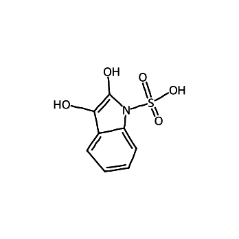 O=S(=O)(O)n1c(O)c(O)c2ccccc21